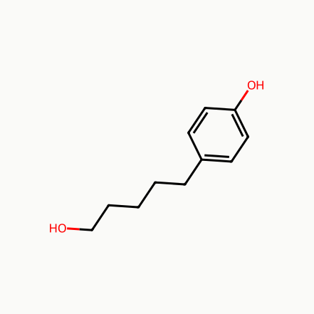 OCCCCCc1ccc(O)cc1